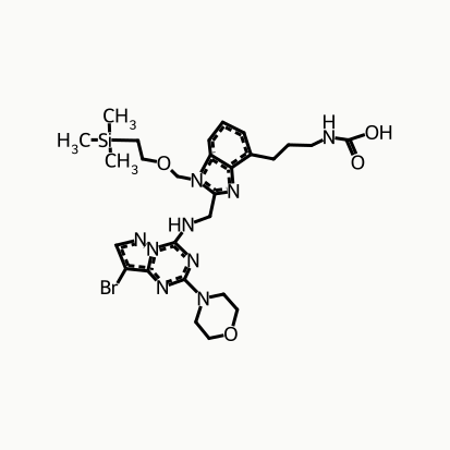 C[Si](C)(C)CCOCn1c(CNc2nc(N3CCOCC3)nc3c(Br)cnn23)nc2c(CCCNC(=O)O)cccc21